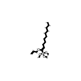 C=CCO/C(=C\CCCCCCCCC)[Si](OC)(OC)OC